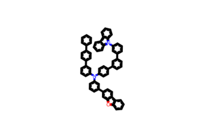 c1ccc(-c2ccc(-c3cccc(N(c4ccc(-c5cccc(-c6cccc(-n7c8ccccc8c8ccccc87)c6)c5)cc4)c4cccc(-c5ccc6c(c5)oc5ccccc56)c4)c3)cc2)cc1